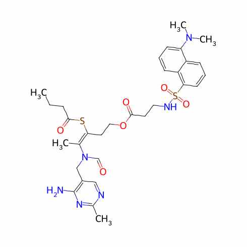 CCCC(=O)SC(CCOC(=O)CCNS(=O)(=O)c1cccc2c(N(C)C)cccc12)=C(C)N(C=O)Cc1cnc(C)nc1N